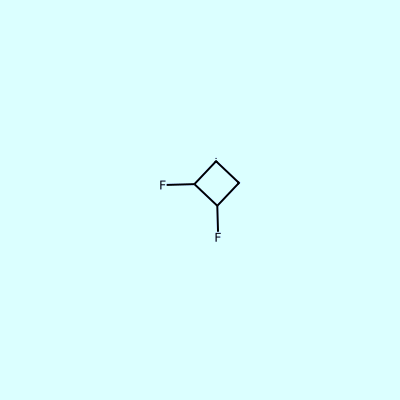 FC1[CH]CC1F